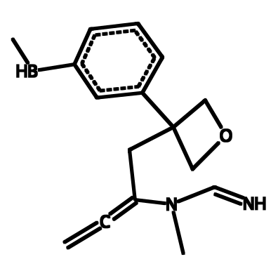 C=C=C(CC1(c2cccc(BC)c2)COC1)N(C)C=N